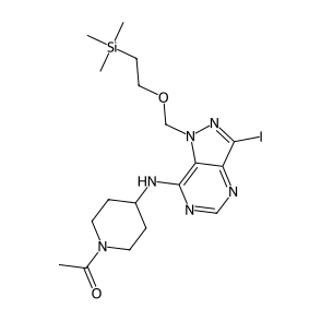 CC(=O)N1CCC(Nc2ncnc3c(I)nn(COCC[Si](C)(C)C)c23)CC1